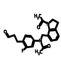 CC(=O)N(Cc1cccc2c1N(C(C)=O)CC2)c1ccc(CCC=O)c(F)c1